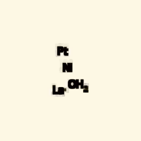 O.[La].[Ni].[Pt]